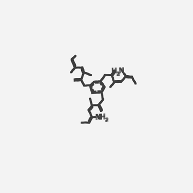 C=C(Cc1cc(CC(=C)/C(C)=C\C(N)=C/C)cc(CC(=C)/C(C)=C\C(N)=C/C)c1)/C(C)=C\C(C)=C/C